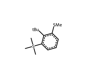 CSc1cccc(S(C)(C)C)c1C(C)(C)C